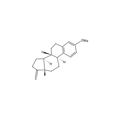 COc1ccc2c(c1)CC[C@@H]1[C@@H]2CC[C@]2(C)C(=S)CC[C@@H]12